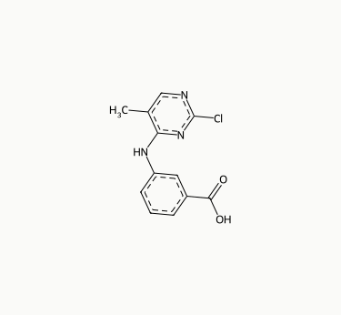 Cc1cnc(Cl)nc1Nc1cccc(C(=O)O)c1